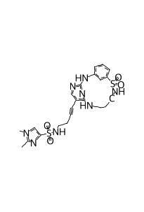 Cc1nc(S(=O)(=O)NCCC#Cc2cnc3nc2NCCCNS(=O)(=O)c2cccc(c2)N3)cn1C